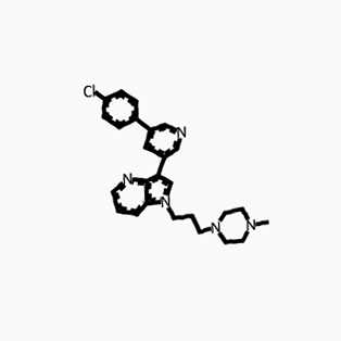 CN1CCN(CCCn2cc(-c3cncc(-c4ccc(Cl)cc4)c3)c3ncccc32)CC1